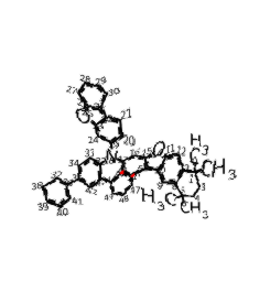 CC1(C)CCC(C)(C)c2cc3c(cc21)oc1cc(N(c2ccc4c(c2)oc2ccccc24)c2ccc(-c4ccccc4)cc2-c2ccccc2)ccc13